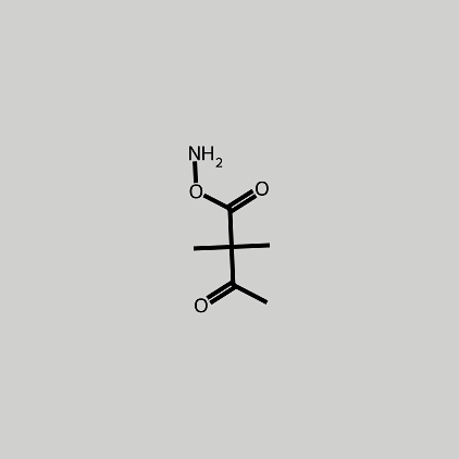 CC(=O)C(C)(C)C(=O)ON